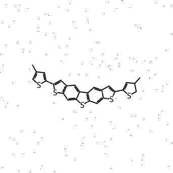 Cc1csc(-c2cc3cc4c(cc3s2)sc2cc3sc(C5=CC(C)CS5)cc3cc24)c1